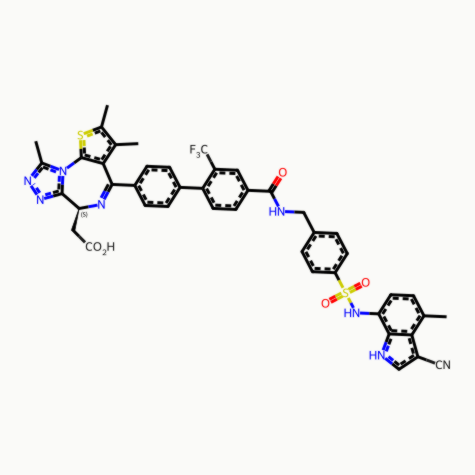 Cc1sc2c(c1C)C(c1ccc(-c3ccc(C(=O)NCc4ccc(S(=O)(=O)Nc5ccc(C)c6c(C#N)c[nH]c56)cc4)cc3C(F)(F)F)cc1)=N[C@@H](CC(=O)O)c1nnc(C)n1-2